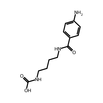 Nc1ccc(C(=O)NCCCCNC(=O)O)cc1